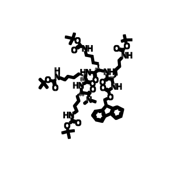 CN(C)C(=O)[C@H](CCCCNC(=O)OC(C)(C)C)NC(=O)[C@H](CCCCNC(=O)OC(C)(C)C)NC(=O)[C@H](CCCCNC(=O)OC(C)(C)C)NC(=O)[C@H](CCCCNC(=O)OC(C)(C)C)NC(=O)OCC1c2ccccc2-c2ccccc21